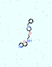 O=C(/C=C\c1cccnc1)NCCCOC1CCN(Cc2ccccc2)CC1